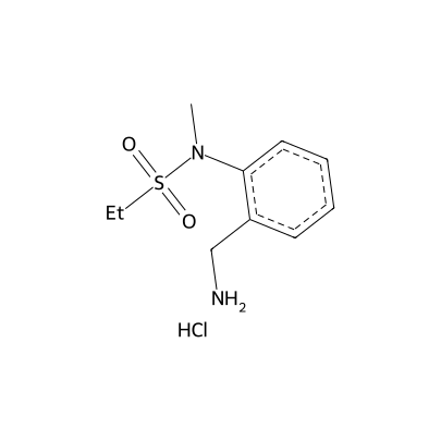 CCS(=O)(=O)N(C)c1ccccc1CN.Cl